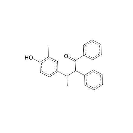 Cc1cc(C(C)C(C(=O)c2ccccc2)c2ccccc2)ccc1O